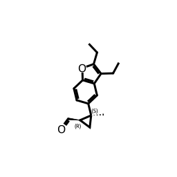 CCc1oc2ccc([C@@]3(C)C[C@H]3C=O)cc2c1CC